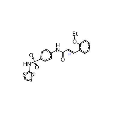 CCOc1ccccc1/C=C/C(=O)Nc1ccc(S(=O)(=O)Nc2nccs2)cc1